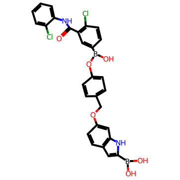 O=C(Nc1ccccc1Cl)c1cc(B(O)Oc2ccc(COc3ccc4cc(B(O)O)[nH]c4c3)cc2)ccc1Cl